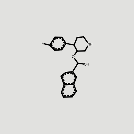 OC(OC1CNCCC1c1ccc(F)cc1)c1ccc2ccccc2c1